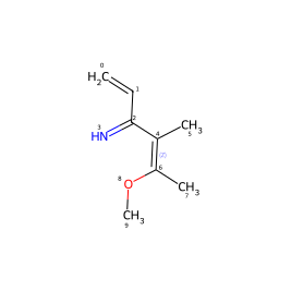 C=CC(=N)/C(C)=C(/C)OC